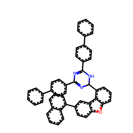 c1ccc(-c2ccc(C3=NC(c4cccc5oc6ccc(-c7cccc8ccccc78)cc6c45)NC(c4ccc(-c5ccccc5)cc4)=N3)cc2)cc1